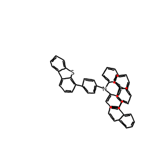 c1ccc(-c2ccccc2N(c2ccc(-c3cccc4c3sc3ccccc34)cc2)c2ccccc2-c2cccc(-c3cccc4ccccc34)c2)cc1